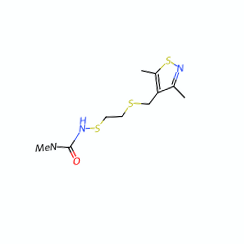 CNC(=O)NSCCSCc1c(C)nsc1C